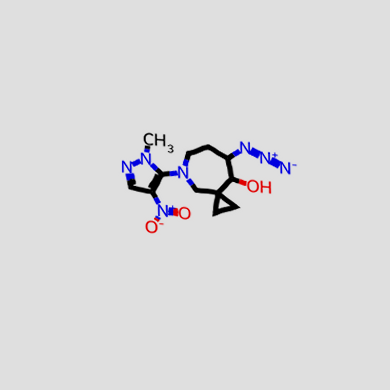 Cn1ncc([N+](=O)[O-])c1N1CCC(N=[N+]=[N-])C(O)C2(CC2)C1